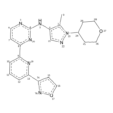 Cc1c(Nc2nccc(-c3cccc(-c4ccon4)n3)n2)cnn1C1CCOCC1